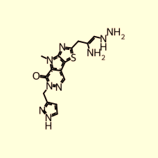 Cn1c2nc(C/C(N)=C/NN)sc2c2cnn(Cc3cc[nH]n3)c(=O)c21